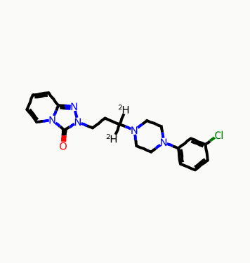 [2H]C([2H])(CCn1nc2ccccn2c1=O)N1CCN(c2cccc(Cl)c2)CC1